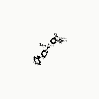 CCCCS(=O)(=O)N1C[C@@H](NC(=O)N2CCC(OCC3CCNCC3)CC2)CC[C@H]1C(=O)OC.Cl